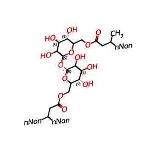 CCCCCCCCCC(C)CC(=O)OCC1O[C@@H](O[C@H]2OC(COC(=O)CC(CCCCCCCCC)CCCCCCCCC)[C@@H](O)[C@H](O)C2O)C(O)[C@@H](O)[C@@H]1O